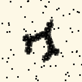 Cc1ccc(-c2ccc(N(c3ccccc3)c3ccc(-c4ccc(-c5ccc6c(c5)c5cc(-c7ccc(-c8ccc(N(c9ccccc9)c9ccc(-c%10ccc(C)cc%10)cc9)cc8)cc7)ccc5n6-c5ccc(-c6ccc(C)cc6)cc5)cc4)cc3)cc2)cc1